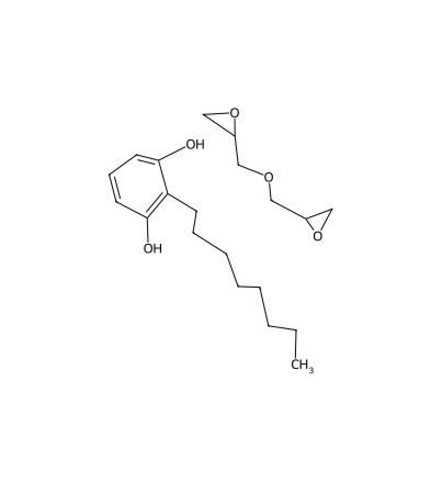 C(OCC1CO1)C1CO1.CCCCCCCCc1c(O)cccc1O